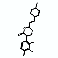 Cc1ccc(C2CCC(CCC3CCC(C)CC3)OC2=O)c(C)c1C